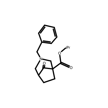 CC(C)OC(=O)C12CCC(CN(Cc3ccccc3)C1)C2=O